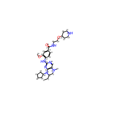 CCC1CN(C)c2cnc(Nc3ccc(C(=O)NCCOC4CCNCC4)cc3OC)nc2N1C1CCCC1